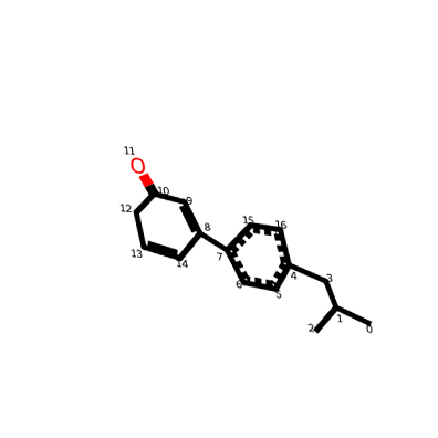 CC(C)Cc1ccc(C2=CC(=O)CC=C2)cc1